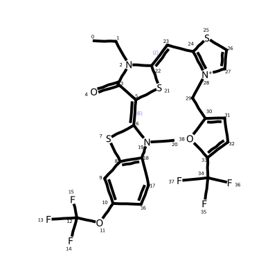 CCn1c(=O)/c(=C2\Sc3cc(OC(F)(F)F)ccc3N2C)s/c1=C\c1scc[n+]1Cc1ccc(C(F)(F)F)o1